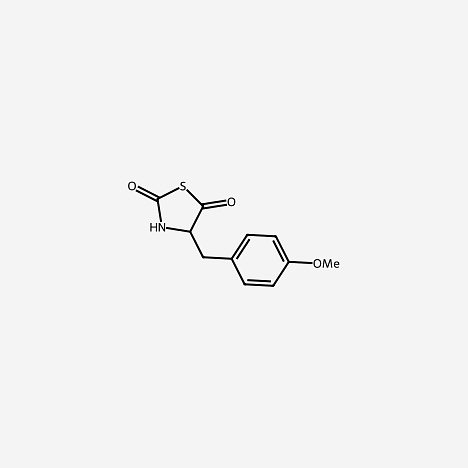 COc1ccc(CC2NC(=O)SC2=O)cc1